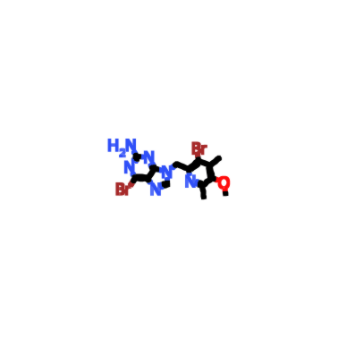 COc1c(C)nc(Cn2cnc3c(Br)nc(N)nc32)c(Br)c1C